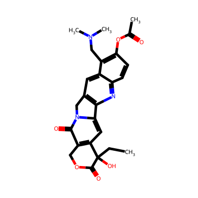 CCC1(O)C(=O)OCc2c1cc1n(c2=O)Cc2cc3c(CN(C)C)c(OC(C)=O)ccc3nc2-1